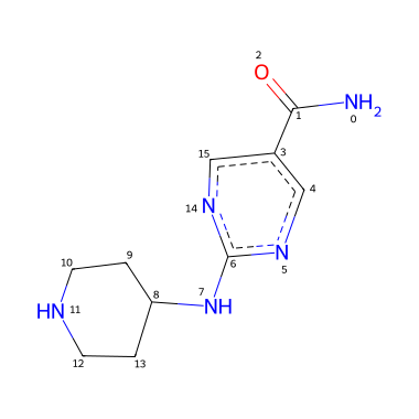 NC(=O)c1cnc(NC2CCNCC2)nc1